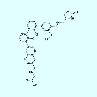 COc1nc(-c2cccc(-c3cccc(-c4cc5ncc(CNCC(=O)O)cc5cn4)c3Cl)c2Cl)ccc1CNCC1CCC(=O)N1